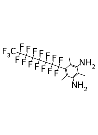 Cc1c(N)c(C)c(C(F)(F)C(F)(F)C(F)(F)C(F)(F)C(F)(F)C(F)(F)C(F)(F)C(F)(F)F)c(C)c1N